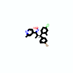 Cc1cc(/C(=N\O)C(C)[C@H](c2ccc(Br)cc2)c2ccc(Cl)cc2C)ccn1